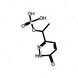 CC(OP(=O)(O)O)c1ccc(=O)[nH]n1